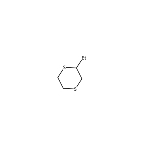 CCC1CSCCS1